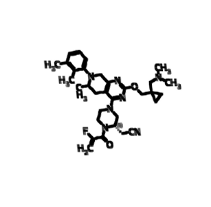 C=C(F)C(=O)N1CCN(c2nc(OCC3(CN(C)C)CC3)nc3c2CC(C)N(c2cccc(C)c2C)C3)C[C@@H]1CC#N